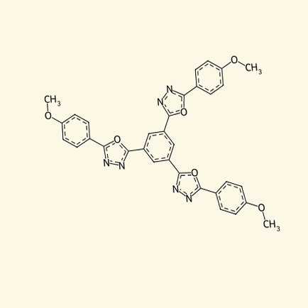 COc1ccc(-c2nnc(-c3cc(-c4nnc(-c5ccc(OC)cc5)o4)cc(-c4nnc(-c5ccc(OC)cc5)o4)c3)o2)cc1